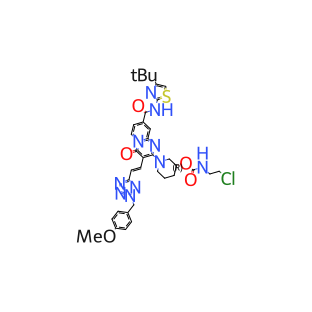 COc1ccc(Cn2nnc(C=Cc3c(N4CCC[C@@H](OC(=O)NCCCl)C4)nc4cc(C(=O)Nc5nc(C(C)(C)C)cs5)ccn4c3=O)n2)cc1